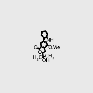 COc1c2c(cc3c1[nH]c1ccccc13)C(=O)OC(C(C)(C)O)C2